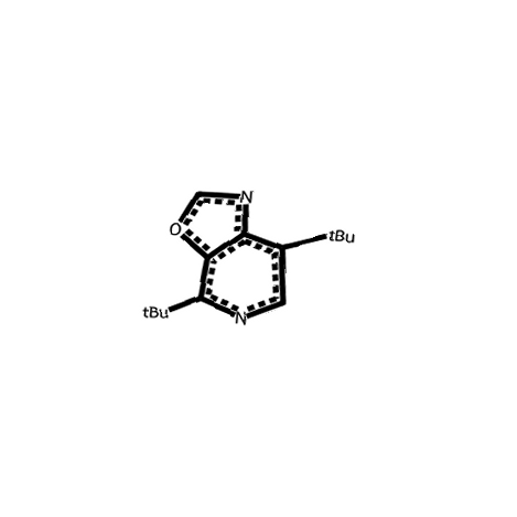 CC(C)(C)c1cnc(C(C)(C)C)c2ocnc12